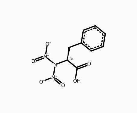 O=C(O)[C@H](Cc1ccccc1)N([N+](=O)[O-])[N+](=O)[O-]